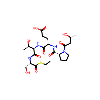 CCSC(=O)[C@H](CO)NC(=O)[C@H](NC(=O)[C@H](CCC(=O)O)NC(=O)[C@H]1CCCN1C(=O)C[C@@H](C)O)[C@@H](C)O